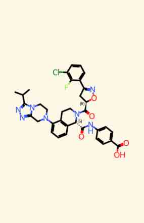 CC(C)c1nnc2n1CCN(c1cccc3c1CCN(C(=O)[C@H]1CC(c4cccc(Cl)c4F)=NO1)[C@@H]3C(=O)Nc1ccc(C(=O)O)cc1)C2